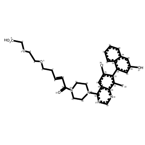 O=C(O)COCCOCCC=CC(=O)N1CCN(c2ncnc3c(F)c(-c4cc(O)cc5ccccc45)c(Cl)cc23)CC1